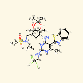 CCN(C[C@@H]1C[C@@H](Nc2nc(NCC(F)(F)F)nc(C)c2-c2nc3ccccc3s2)[C@@H]2OC(C)(C)O[C@H]12)S(C)(=O)=O